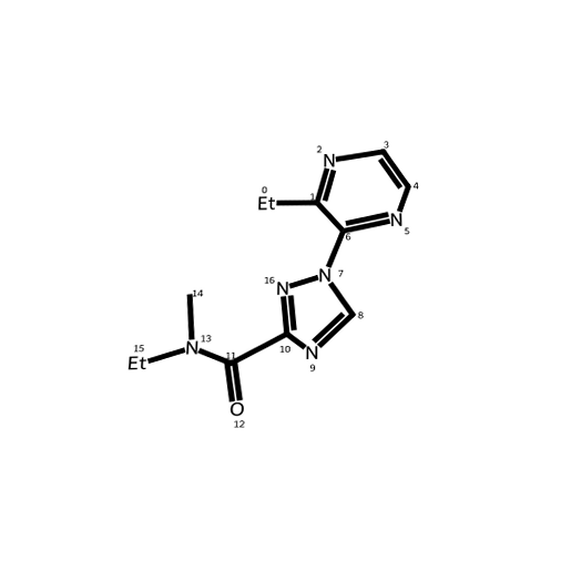 CCc1nccnc1-n1cnc(C(=O)N(C)CC)n1